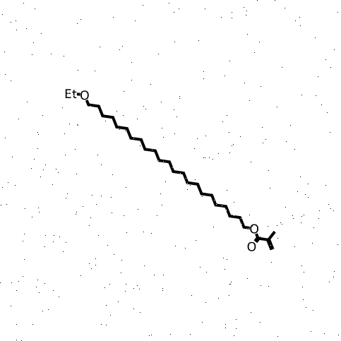 C=C(C)C(=O)OCCCCCCCCCCCCCCCCCCCCCCCOCC